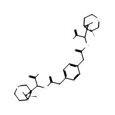 O=C(Cc1ccc(CC(=O)NC(C(=O)O)[C@H]2CN3CCC2CC3)cc1)NC(C(=O)O)[C@H]1CN2CCC1CC2